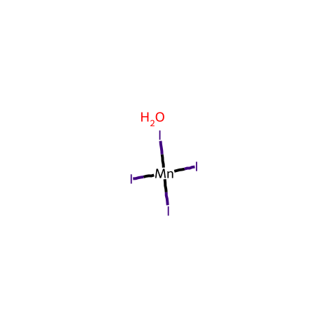 O.[I][Mn]([I])([I])[I]